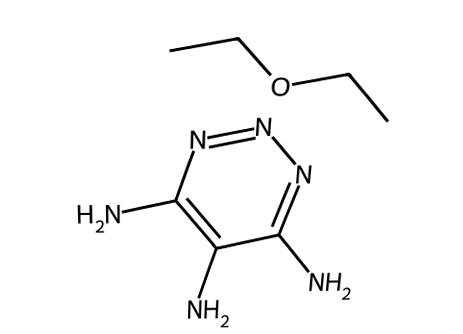 CCOCC.Nc1nnnc(N)c1N